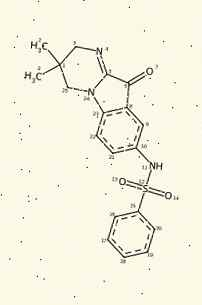 CC1(C)CN=C2C(=O)c3cc(NS(=O)(=O)c4ccccc4)ccc3N2C1